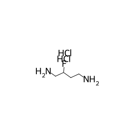 Cl.Cl.NCCC(F)CN